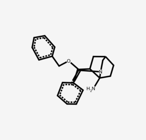 NC12CCC(CC1Cc1ccccc1)CN2C(=O)OCc1ccccc1